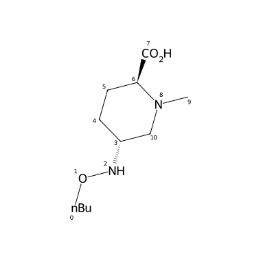 CCCCON[C@@H]1CC[C@@H](C(=O)O)N(C)C1